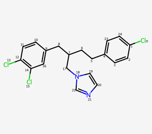 Clc1ccc(CCC(Cc2ccc(Cl)c(Cl)c2)Cn2ccnc2)cc1